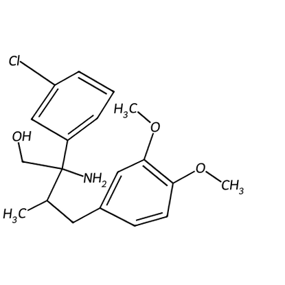 COc1ccc(CC(C)C(N)(CO)c2cccc(Cl)c2)cc1OC